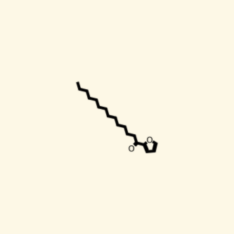 CCCCCCCCCCCCCC(=O)c1ccco1